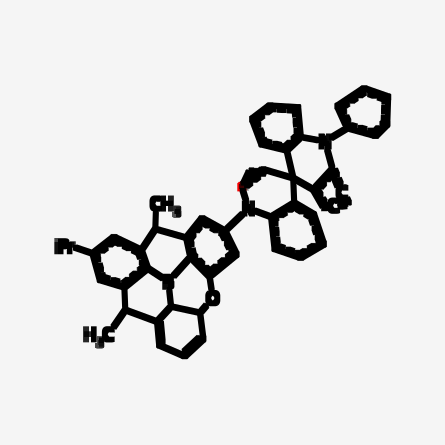 CC(C)c1cc2c3c(c1)C(C)c1cc(N4c5ccccc5C5(c6ccccc6N(c6ccccc6)c6ccccc65)c5ccccc54)cc4c1B3C1C(=CC=CC1O4)C2C